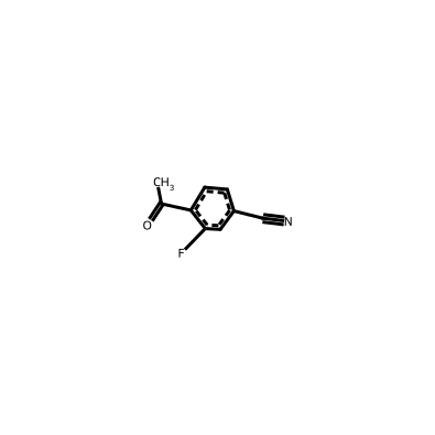 CC(=O)c1ccc(C#N)cc1F